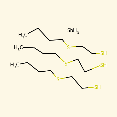 CCCCSCCS.CCCCSCCS.CCCCSCCS.[SbH3]